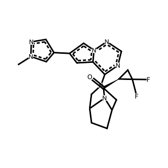 Cn1cc(-c2cc3c(N4CC5CCC(C4)N5C(=O)[C@H]4CC4(F)F)ncnn3c2)cn1